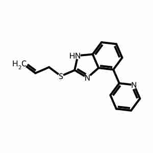 C=CCSc1nc2c(-c3ccccn3)cccc2[nH]1